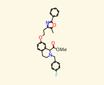 COC(=O)C1c2cc(OCCc3nc(-c4ccccc4)oc3C)ccc2CCN1Cc1ccc(F)cc1